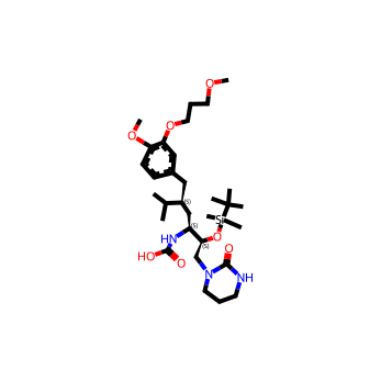 COCCCOc1cc(C[C@@H](C[C@H](NC(=O)O)[C@H](CN2CCCNC2=O)O[Si](C)(C)C(C)(C)C)C(C)C)ccc1OC